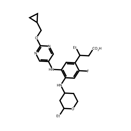 CCC1CC(Nc2cc(F)c(C(CC)CC(=O)O)cc2Nc2cnc(OCC3CC3)nc2)CCO1